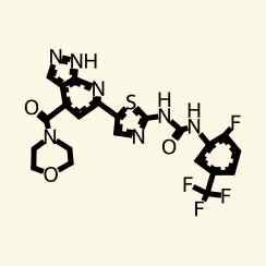 O=C(Nc1ncc(-c2cc(C(=O)N3CCOCC3)c3cn[nH]c3n2)s1)Nc1cc(C(F)(F)F)ccc1F